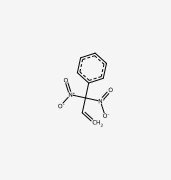 C=CC(c1ccccc1)([N+](=O)[O-])[N+](=O)[O-]